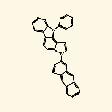 c1ccc(-n2c3ccccc3c3ccc4c(ccn4-c4ccc5cc6ccccc6cc5c4)c32)cc1